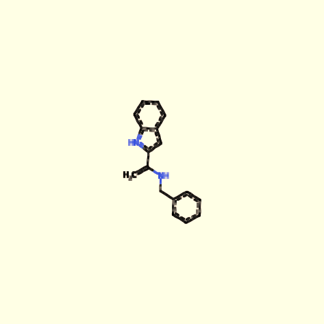 C=C(NCc1ccccc1)c1cc2ccccc2[nH]1